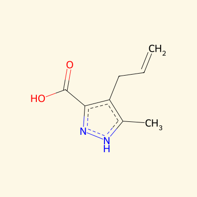 C=CCc1c(C(=O)O)n[nH]c1C